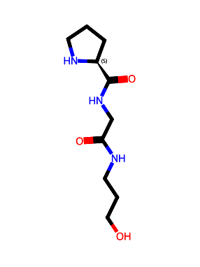 O=C(CNC(=O)[C@@H]1CCCN1)NCCCO